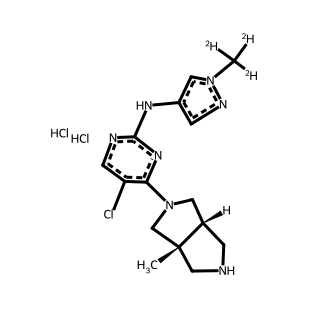 Cl.Cl.[2H]C([2H])([2H])n1cc(Nc2ncc(Cl)c(N3C[C@@H]4CNC[C@]4(C)C3)n2)cn1